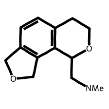 CNCC1OCCc2ccc3c(c21)COC3